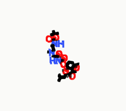 COC1C(OC(=O)NC(=O)CN(C)CCNC(=O)OC(C)(C)C)CC[C@]2(CO2)C1C1(C)O[C@@H]1CC=C(C)C